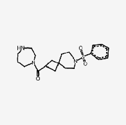 O=C(C1CC2(CCN(S(=O)(=O)c3ccccc3)CC2)C1)N1CCCNCC1